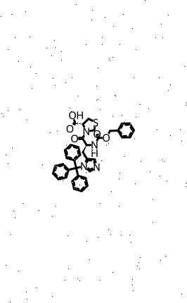 O=C(N[C@@H](Cc1cncn1C(c1ccccc1)(c1ccccc1)c1ccccc1)C(=O)N1CSC[C@H]1C(=O)O)OCc1ccccc1